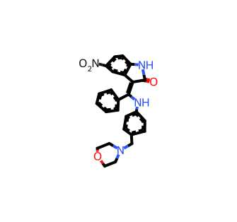 O=C1Nc2ccc([N+](=O)[O-])cc2C1=C(Nc1ccc(CN2CCOCC2)cc1)c1ccccc1